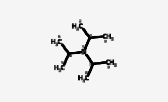 C[CH](C)[Bi]([CH](C)C)[CH](C)C